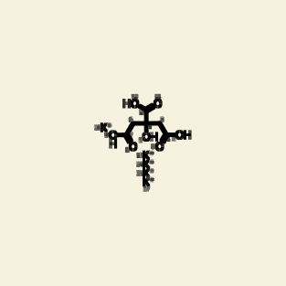 O=C(O)CC(O)(CC(=O)O)C(=O)O.[K+].[K+].[K+].[K+].[K+]